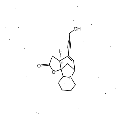 O=C1C[C@H]2C(C#CCO)=CC3CC2(O1)C1CCCCN31